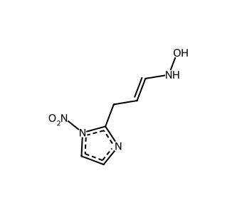 O=[N+]([O-])n1ccnc1CC=CNO